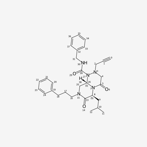 C#CCN1CC(=O)N2[C@@H](CC(C)C)C(=O)N(CCCc3ccccc3)C[C@@H]2N1C(=O)NCc1ccccc1